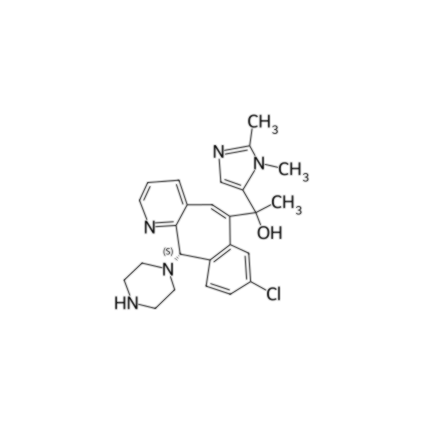 Cc1ncc(C(C)(O)C2=Cc3cccnc3[C@@H](N3CCNCC3)c3ccc(Cl)cc32)n1C